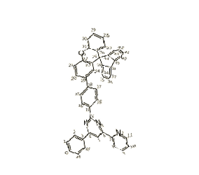 c1ccc(-c2cc(-c3ccccn3)nc(-c3ccc(-c4ccc5c(c4)C4(c6ccccc6O5)c5ccccc5-c5ccccc54)cc3)n2)cc1